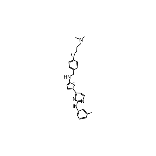 Cc1cccc(Nc2nccc(-c3ccc(NCc4ccc(OCCCN(C)C)cc4)s3)n2)c1